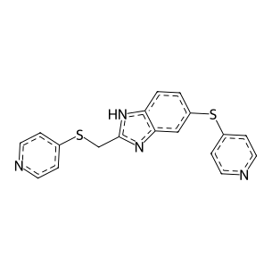 c1cc(SCc2nc3cc(Sc4ccncc4)ccc3[nH]2)ccn1